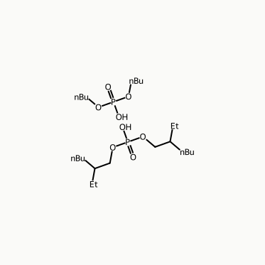 CCCCC(CC)COP(=O)(O)OCC(CC)CCCC.CCCCOP(=O)(O)OCCCC